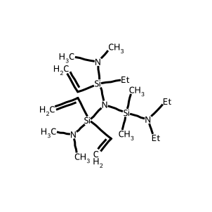 C=C[Si](C=C)(N(C)C)N([Si](C)(C)N(CC)CC)[Si](C=C)(CC)N(C)C